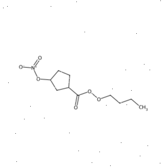 CCCCOOC(=O)C1CCC(O[N+](=O)[O-])C1